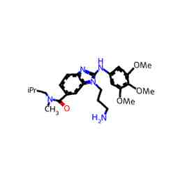 COc1cc(Nc2nc3ccc(C(=O)N(C)CC(C)C)cc3n2CCCN)cc(OC)c1OC